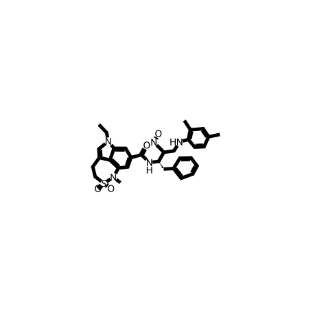 CCn1cc2c3c(cc(C(=O)N[C@@H](Cc4ccccc4)C(CNc4ccc(C)cc4C)N=O)cc31)N(C)S(=O)(=O)CC2